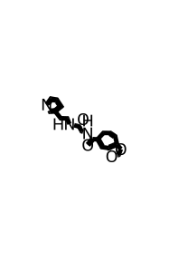 O=C(CNC(=O)C1=CC2=C(C=CC1)OCO2)NCCc1cccnc1